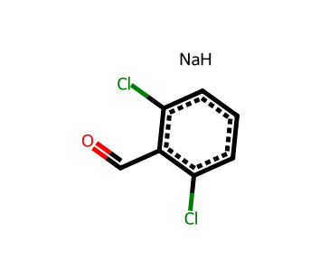 O=Cc1c(Cl)cccc1Cl.[NaH]